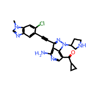 Cn1cnc2cc(C#Cc3nn(C4CCNC4)c4c(C(=O)C5CC5)cnc(N)c34)c(Cl)cc21